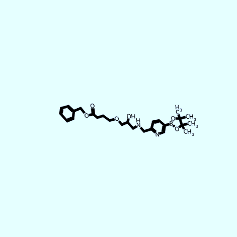 CC1(C)OB(c2ccc(CNCC(O)COCCCC(=O)OCc3ccccc3)nc2)OC1(C)C